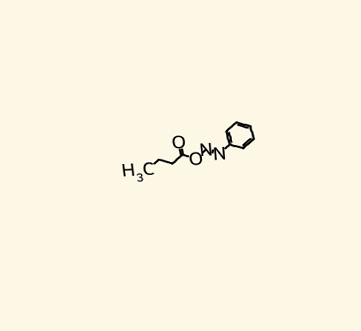 CCCC(=O)ON=Nc1ccccc1